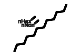 CCCCCCC.CCCCCCCCCC.CCCCCCCCCCCC